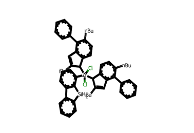 CCCCc1ccc2c(c1-c1ccccc1)C=C(C(C)CC)[CH]2[Zr]([Cl])([Cl])([c]1cccc2c1[SiH2]c1ccccc1-2)[CH]1C(C(C)CC)=Cc2c1ccc(CCCC)c2-c1ccccc1